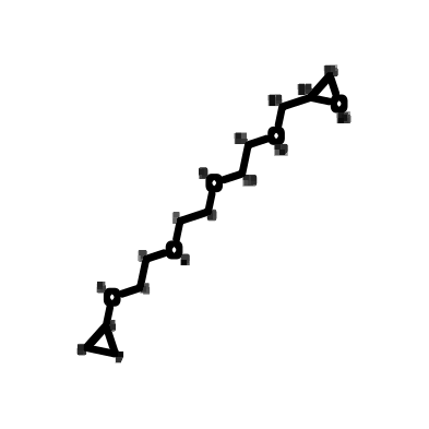 C(COCCOC1CC1)OCCOCC1CO1